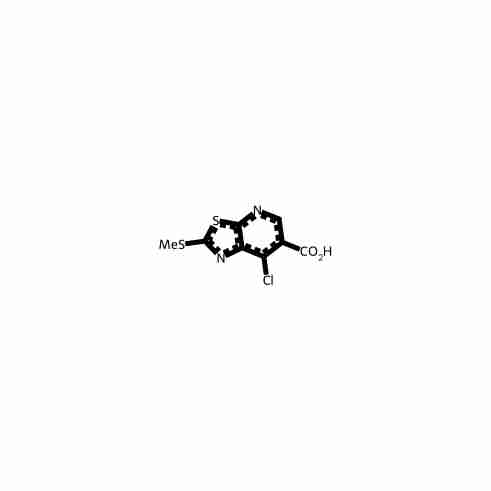 CSc1nc2c(Cl)c(C(=O)O)cnc2s1